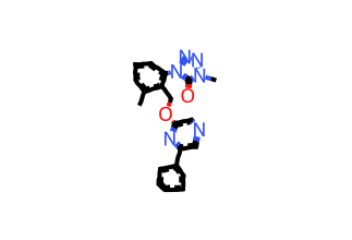 Cc1cccc(-n2nnn(C)c2=O)c1COc1cncc(-c2ccccc2)n1